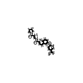 O=C(NCCC(=O)N1CCCC1)c1ccc2cc(Oc3ccc(C(F)F)cn3)ccc2n1